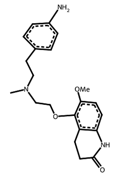 COc1ccc2c(c1OCCN(C)CCc1ccc(N)cc1)CCC(=O)N2